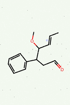 C/C=C/C(OC)C(CC=O)c1ccccc1